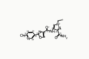 CCn1cc(NC(=O)c2coc(-c3ccc(Cl)nc3)n2)c(C(N)=O)n1